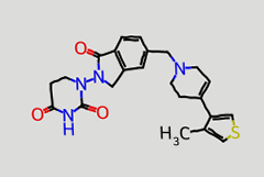 Cc1cscc1C1=CCN(Cc2ccc3c(c2)CN(N2CCC(=O)NC2=O)C3=O)CC1